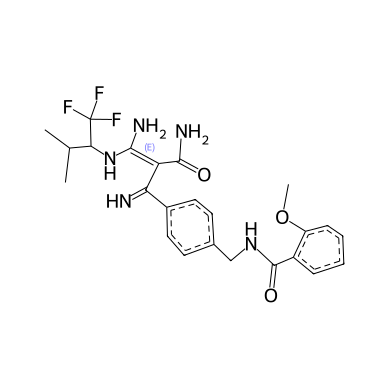 COc1ccccc1C(=O)NCc1ccc(C(=N)/C(C(N)=O)=C(/N)NC(C(C)C)C(F)(F)F)cc1